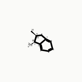 [2H][C@H]1c2ccccc2C[C@@H]1C